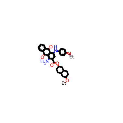 CCOc1ccc(Nc2cc(C(=O)OC3CCC4CC(OCC)CCC4C3)c(N)c3c2C(=O)c2ccccc2C3=O)cc1